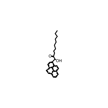 CCCCCCCCCC(=O)C(O)c1ccc2ccc3cccc4ccc1c2c34